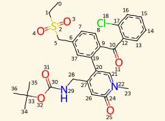 CCS(=O)(=O)Cc1ccc(C(=O)c2ccccc2Cl)c(-c2cn(C)c(=O)cc2CNC(=O)OC(C)(C)C)c1